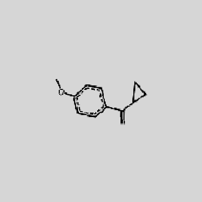 C=C(c1ccc(OC)cc1)C1CC1